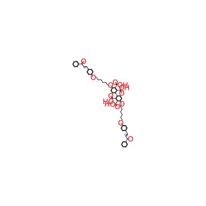 O=C(/C=C/c1ccc(OCCCCCCOc2ccc(-c3ccc(OCCCCCCOc4ccc(/C=C/C(=O)c5ccccc5)cc4)c(C(=O)O)c3C(=O)O)c(C(=O)O)c2C(=O)O)cc1)c1ccccc1